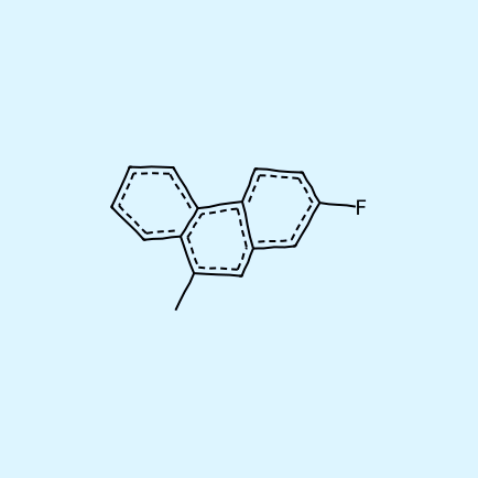 Cc1cc2cc(F)ccc2c2ccccc12